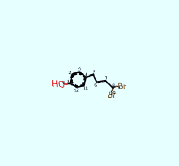 Oc1ccc(CCCC(Br)Br)cc1